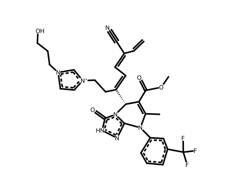 C=C/C(C#N)=C\C=C(/CC[n+]1ccn(CCCO)c1)[C@@H]1C(C(=O)OC)=C(C)N(c2cccc(C(F)(F)F)c2)c2n[nH]c(=O)n21